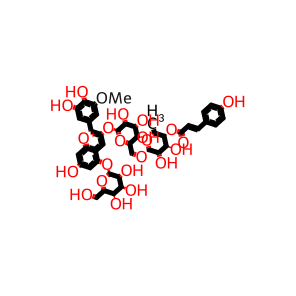 COc1cc(-c2[o+]c3cc(O)cc(O[C@@H]4OC(CO)[C@@H](O)[C@H](O)C4O)c3cc2O[C@@H]2OC(CO[C@@H]3OC(C)[C@H](OC(=O)/C=C/c4ccc(O)cc4)[C@H](O)C3O)[C@@H](O)C(O)C2O)cc(O)c1O